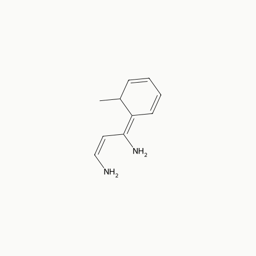 CC1C=CC=C/C1=C(N)/C=C\N